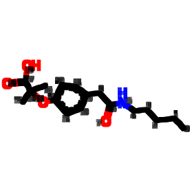 CCCCCNC(=O)Cc1ccc(OC(C)(C)C(=O)O)cc1